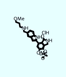 COCCCNCc1ccc2[nH]c(-c3cc(OC)c(OS(C)(=O)=O)c4c3C(=O)NC4)cc2c1.Cl